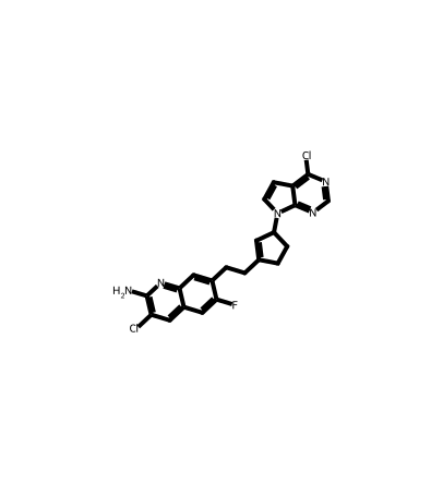 Nc1nc2cc(CCC3=CC(n4ccc5c(Cl)ncnc54)CC3)c(F)cc2cc1Cl